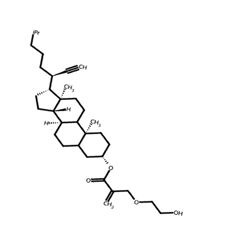 C#C[C@H](CCCC(C)C)[C@H]1CC[C@H]2[C@@H]3CCC4C[C@@H](OC(=O)C(=C)COCCO)CC[C@]4(C)C3CC[C@]12C